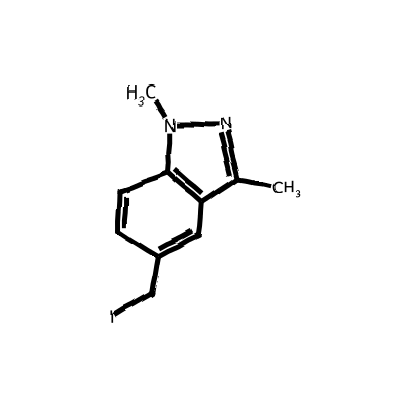 Cc1nn(C)c2ccc(CI)cc12